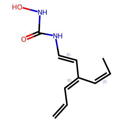 C=C/C=C(\C=C/C)/C=C/NC(=O)NO